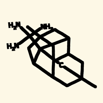 CC12CC3C4CC5(C)CC3C(C1)C(C(N)(N)N)(C5)C4C2